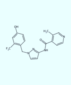 Cc1cnccc1C(=O)Nc1ccn(Cc2ccc(O)cc2C(F)(F)F)n1